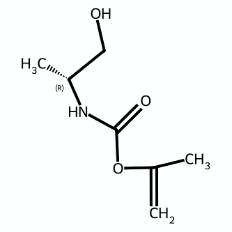 C=C(C)OC(=O)N[C@H](C)CO